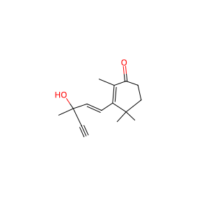 C#CC(C)(O)/C=C/C1=C(C)C(=O)CCC1(C)C